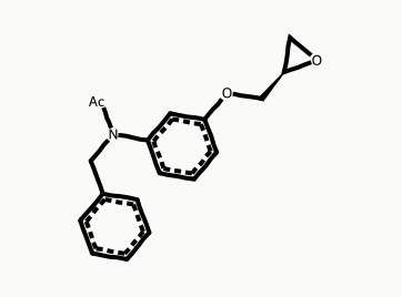 CC(=O)N(Cc1ccccc1)c1cccc(OC[C@H]2CO2)c1